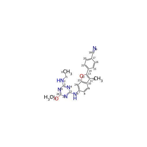 CCNc1nc(Nc2ccc3c(C)c(-c4ccc(C#N)cc4)oc3c2)nc(OC)n1